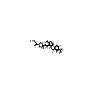 C[C@@H](Nc1ccnc2cnc(C3(O)CCN(C(=O)CO)CC3)cc12)c1cccc(C(F)F)c1F